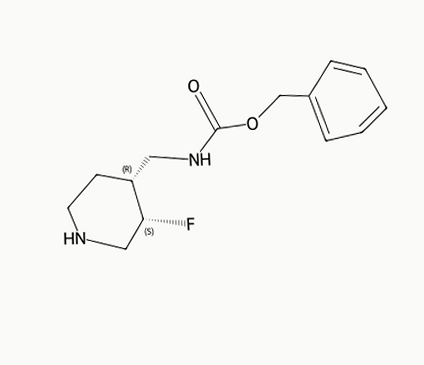 O=C(NC[C@H]1CCNC[C@H]1F)OCc1ccccc1